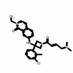 Cc1c(Cl)cccc1C1(Nc2ccc3ccn(CC(F)(F)F)c(=O)c3c2)CN(C(=O)/C=C/CN(C)C)C1